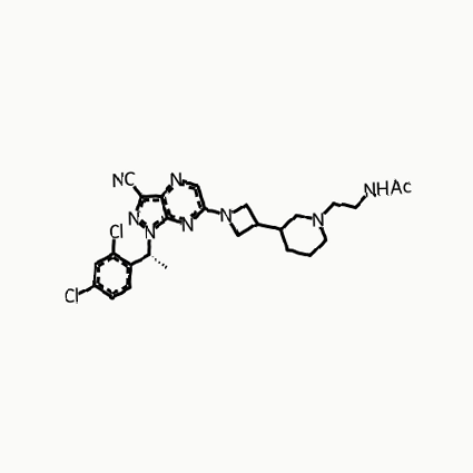 CC(=O)NCCN1CCCC(C2CN(c3cnc4c(C#N)nn([C@H](C)c5ccc(Cl)cc5Cl)c4n3)C2)C1